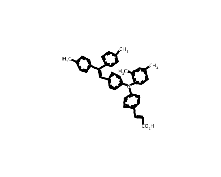 Cc1ccc(C(=Cc2ccc(N(c3ccc(/C=C/C(=O)O)cc3)c3ccc(C)cc3C)cc2)c2ccc(C)cc2)cc1